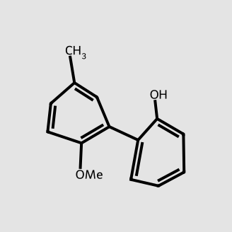 COc1ccc(C)cc1-c1ccccc1O